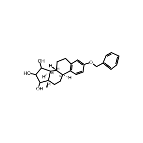 C[C@]12CC[C@@H]3c4ccc(OCc5ccccc5)cc4CC[C@H]3[C@@H]1C(O)C(O)C2O